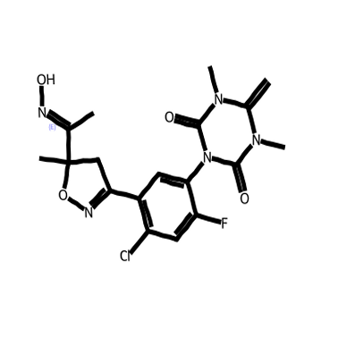 C=C1N(C)C(=O)N(c2cc(C3=NOC(C)(/C(C)=N/O)C3)c(Cl)cc2F)C(=O)N1C